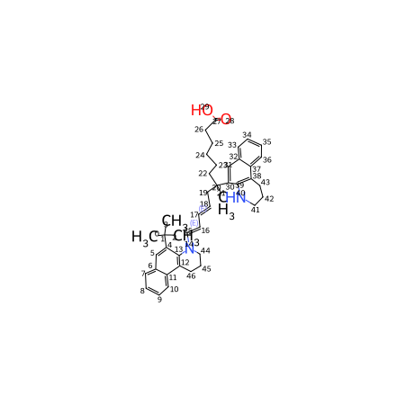 CC(C)(C)c1cc2ccccc2c2c1N(/C=C/C=C/CC(C)(CCCCCC(=O)O)c1cc3ccccc3c3c1NCCC3)CCC2